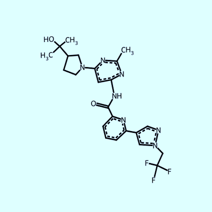 Cc1nc(NC(=O)c2cccc(-c3cnn(CC(F)(F)F)c3)n2)cc(N2CCC(C(C)(C)O)C2)n1